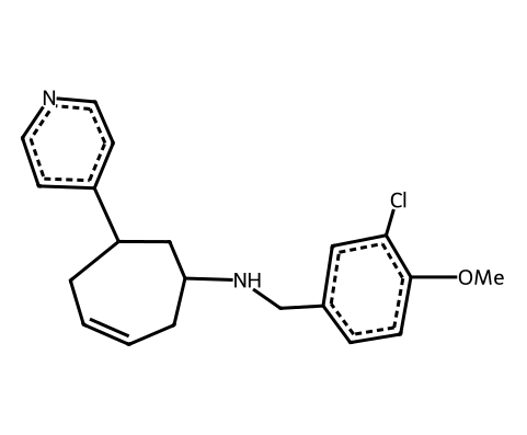 COc1ccc(CNC2CC=CCC(c3ccncc3)C2)cc1Cl